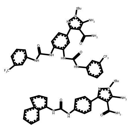 CC(C)(C)n1nc(-c2ccc(NC(=O)Nc3cccc(C(F)(F)F)c3)c(NC(=O)Nc3cccc(C(F)(F)F)c3)c2)c(C(N)=O)c1N.CC(C)(C)n1nc(-c2ccc(NC(=O)Nc3cccc4ccccc34)cc2)c(C(N)=O)c1N